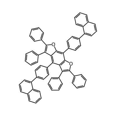 c1ccc(-c2oc3c(-c4ccc(-c5cccc6ccccc56)cc4)c4oc(-c5ccccc5)c(-c5ccccc5)c4c(-c4ccc(-c5cccc6ccccc56)cc4)c3c2-c2ccccc2)cc1